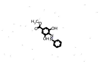 COC(=O)c1cc(O)c(/N=N/c2ccccc2)c(O)c1